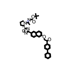 C/C(=N\C(=O)OC(C)(C)C)N1CCC[C@H]1c1nc(-c2ccc3cc(OCC(=O)c4ccc(-c5ccccc5)cc4)ccc3c2)no1